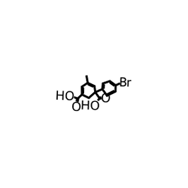 CC1=CC(C(=O)O)(c2ccc(Br)cc2)CC(C(=O)O)=C1